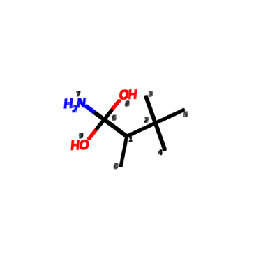 CC(C(C)(C)C)C(N)(O)O